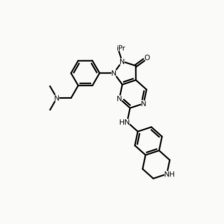 CC(C)n1c(=O)c2cnc(Nc3ccc4c(c3)CCNC4)nc2n1-c1cccc(CN(C)C)c1